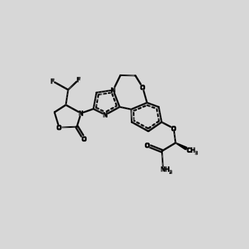 C[C@H](Oc1ccc2c(c1)OCCn1cc(N3C(=O)OCC3C(F)F)nc1-2)C(N)=O